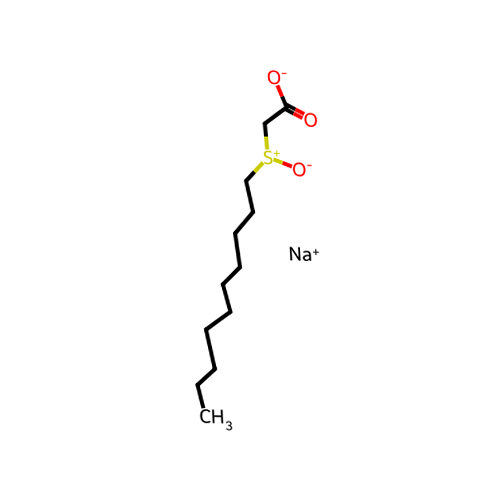 CCCCCCCCCC[S+]([O-])CC(=O)[O-].[Na+]